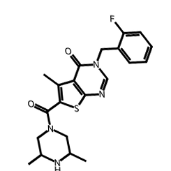 Cc1c(C(=O)N2CC(C)NC(C)C2)sc2ncn(Cc3ccccc3F)c(=O)c12